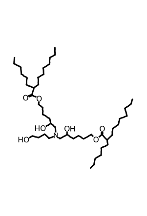 CCCCCCCCC(CCCCCC)C(=O)OCCCCC(O)CN(CCCCO)CC(O)CCCCOC(=O)C(CCCCCC)CCCCCCCC